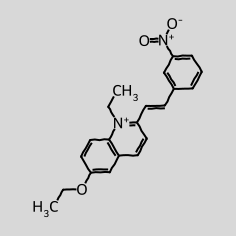 CCOc1ccc2c(ccc(C=Cc3cccc([N+](=O)[O-])c3)[n+]2CC)c1